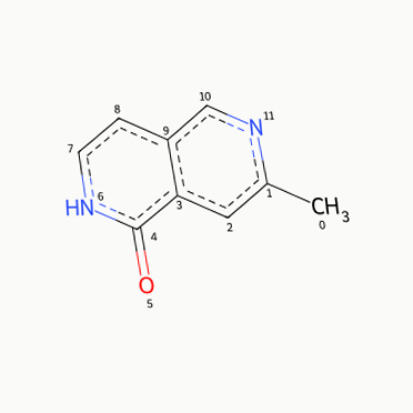 Cc1cc2c(=O)[nH]ccc2cn1